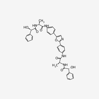 C[C@H](NC(=O)[C@H](O)c1ccccc1)C(=O)Nc1ccc(-c2cnc(-c3ccc(NC(=O)[C@H](C)NC(=O)[C@H](O)c4ccccc4)cc3)o2)cc1